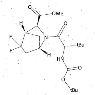 COC(=O)[C@@H]1[C@@H]2C[C@@H](CC2(F)F)N1C(=O)[C@@H](NC(=O)OC(C)(C)C)C(C)(C)C